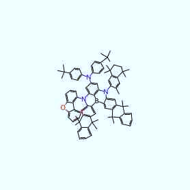 Cc1cc2c(cc1N1c3cc4c(cc3B3c5cc6c(cc5N(c5cccc7oc8ccccc8c57)c5cc(N(c7ccc(C(C)(C)C)cc7)c7ccc(C(C)(C)C)cc7)cc1c53)C(C)(C)c1ccccc1C6(C)C)C(C)(C)c1ccccc1C4(C)C)C(C)(C)CCC2(C)C